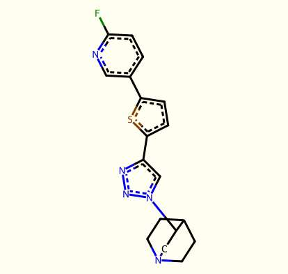 Fc1ccc(-c2ccc(-c3cn(C4CN5CCC4CC5)nn3)s2)cn1